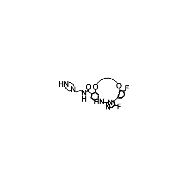 O=C(NCCN1CCNCC1)c1ccc2cc1OCCCCCCOc1cc(ccc1F)-c1nc(ncc1F)N2